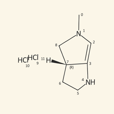 CN1C=C2NCC[C@@H]2C1.Cl.Cl